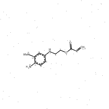 C=CC(=O)OCCNc1ccc(N)c(NC)c1